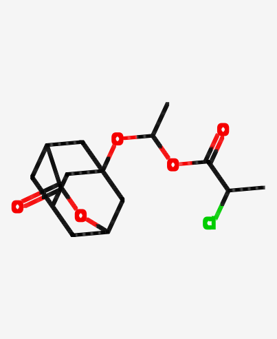 CC(OC(=O)C(C)Cl)OC12CC3CC(C1)OC(=O)C(C3)C2